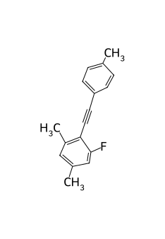 Cc1ccc(C#Cc2c(C)cc(C)cc2F)cc1